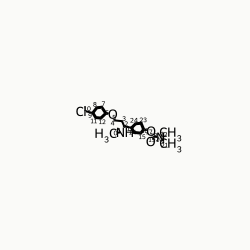 CNC(CCOc1ccc(Cl)cc1)c1ccc(OC(=O)N(C)C)cc1